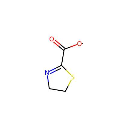 [O]C(=O)C1=NCCS1